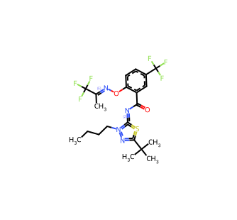 CCCCn1nc(C(C)(C)C)s/c1=N\C(=O)c1cc(C(F)(F)F)ccc1O/N=C(\C)C(F)(F)F